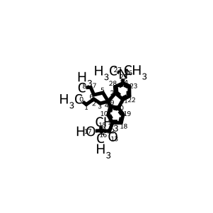 CCCCC1(CCCC)c2cc(C(=O)C(C)(C)O)ccc2-c2ccc(N(C)C)cc21